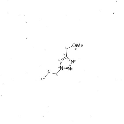 COCc1cn(CCF)nn1